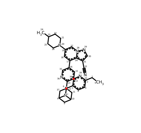 CCc1ccc(CN2C3CC2CN(c2ccc(-c4cc(N5CCC(C)CC5)cn5ncc(C#N)c45)cn2)C3)cn1